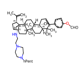 C=C(C)[C@@H]1CC[C@]2(NCCN3CCN(CCCCC)CC3)CC[C@]3(C)[C@H](CC[C@@H]4[C@@]5(C)CC=C(c6ccc(OC=O)cc6)C(C)(C)[C@@H]5CC[C@]43C)[C@@H]12